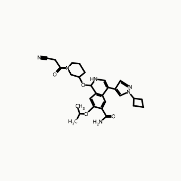 CC(C)Oc1cc2c(cc1C(N)=O)C(c1cnn(C3CCC3)c1)=CNC2OC1CCCN(C(=O)CC#N)C1